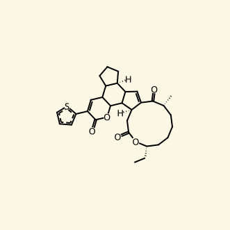 CC[C@H]1CCCC[C@@H](C)C(=O)C2=CC3C(C4OC(=O)C(c5cccs5)=CC4C4CCC[C@@H]34)[C@@H]2CC(=O)O1